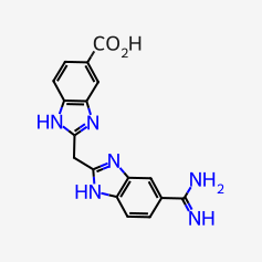 N=C(N)c1ccc2[nH]c(Cc3nc4cc(C(=O)O)ccc4[nH]3)nc2c1